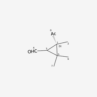 CC(=O)[C@@]1(C)C(C=O)C1(C)C